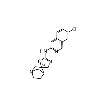 Clc1ccc2cc(NC3=NC[C@@]4(CN5CCC4CC5)O3)ncc2c1